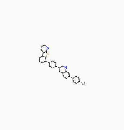 CCc1ccc(-c2ccc3cc(-c4ccc(-c5cccc6c5sc5ncccc56)cc4)cnc3c2)cc1